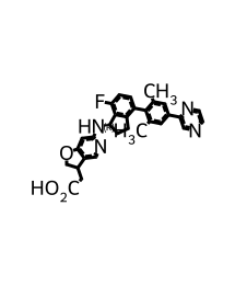 Cc1cc(-c2cnccn2)cc(C)c1-c1ccc(F)c2c1CC[C@H]2Nc1cc2c(cn1)C(CC(=O)O)CO2